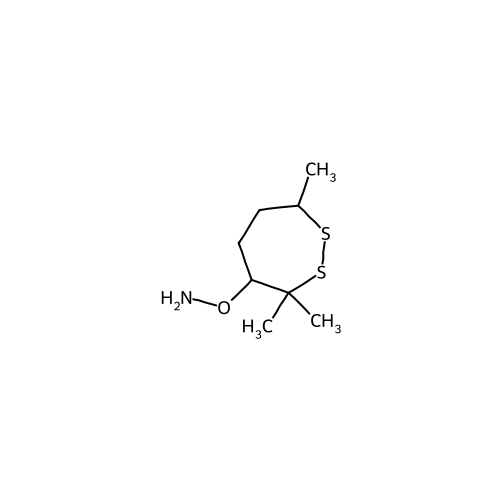 CC1CCC(ON)C(C)(C)SS1